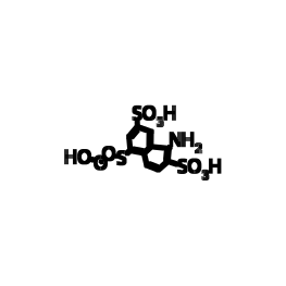 Nc1c(S(=O)(=O)O)ccc2c(SOOO)cc(S(=O)(=O)O)cc12